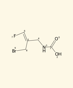 O=C(O)NCC(=CF)CBr